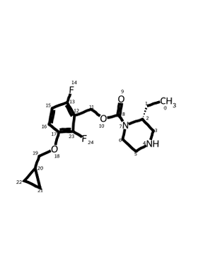 CC[C@@H]1CNCCN1C(=O)OCc1c(F)ccc(OCC2CC2)c1F